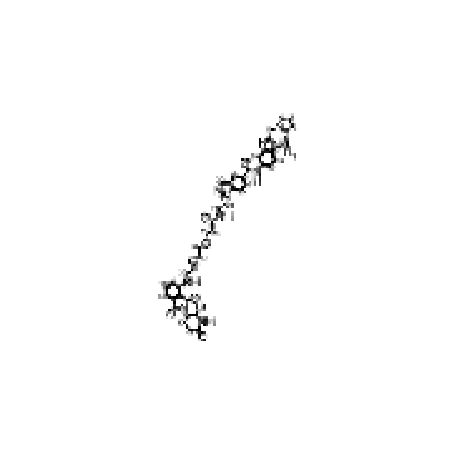 CC1CCCN1Cc1nc2cc(NC(=O)c3ccc4c(cnn4CCNC(=O)CCOCCOCCNc4cccc5c4C(=O)N(C4CCC(=O)NC4=O)C5=O)c3)ccc2[nH]1